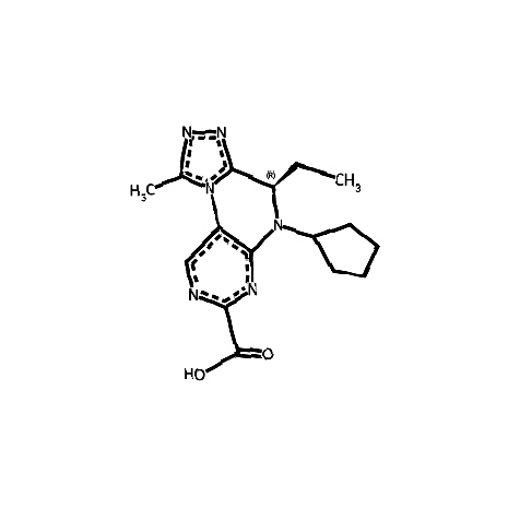 CC[C@@H]1c2nnc(C)n2-c2cnc(C(=O)O)nc2N1C1CCCC1